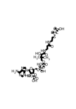 CC(C)(COP(=O)(O)OP(=O)(O)OC[C@H]1O[C@@H](n2cnc3c(N)ncnc32)[C@H](O)[C@@H]1OP(=O)(O)O)[C@@H](O)C(=O)NCCC(=O)NCCS[13C](=O)[13CH2][13C](=O)O